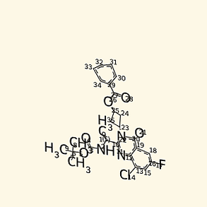 C[C@H](NC(=O)OC(C)(C)C)c1nc2c(Cl)cc(F)cc2c(=O)n1[C@H]1C[C@H](OC(=O)c2ccccc2)C1